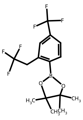 CC1(C)OB(c2ccc(C(F)(F)F)cc2CC(F)(F)F)OC1(C)C